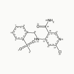 CS(=O)(=O)c1ccccc1CNc1cc(Cl)ncc1C(N)=O